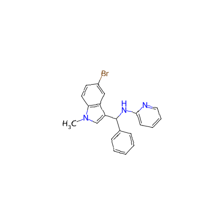 Cn1cc(C(Nc2ccccn2)c2ccccc2)c2cc(Br)ccc21